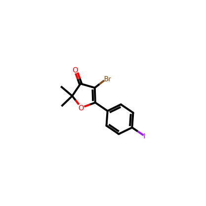 CC1(C)OC(c2ccc(I)cc2)=C(Br)C1=O